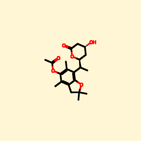 CC(=O)Oc1c(C)c2c(c(C(C)[C@@H]3C[C@@H](O)CC(=O)O3)c1C)OC(C)(C)C2